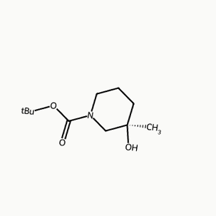 CC(C)(C)OC(=O)N1CCC[C@@](C)(O)C1